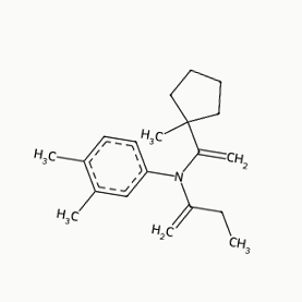 C=C(CC)N(C(=C)C1(C)CCCC1)c1ccc(C)c(C)c1